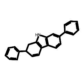 C1=CC(c2ccccc2)Cc2[nH]c3cc(-c4ccccc4)ccc3c21